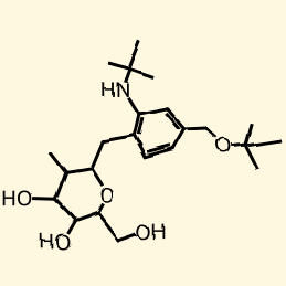 CC1C(Cc2ccc(COC(C)(C)C)cc2NC(C)(C)C)OC(CO)C(O)C1O